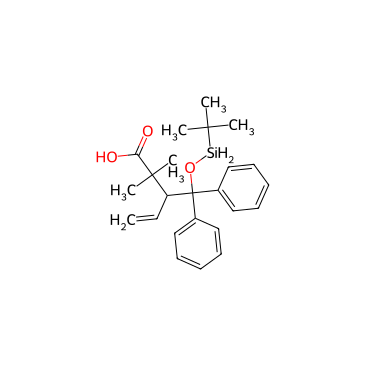 C=CC(C(C)(C)C(=O)O)C(O[SiH2]C(C)(C)C)(c1ccccc1)c1ccccc1